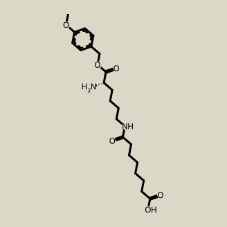 COc1ccc(COC(=O)[C@@H](N)CCCCNC(=O)CCCCCCC(=O)O)cc1